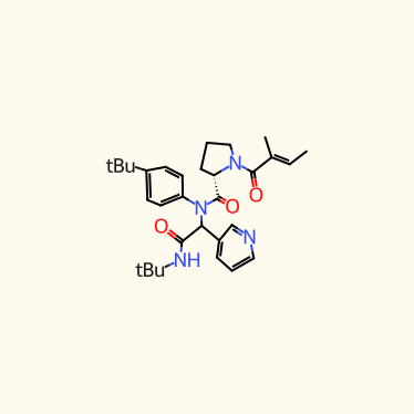 C/C=C(\C)C(=O)N1CCC[C@H]1C(=O)N(c1ccc(C(C)(C)C)cc1)C(C(=O)NC(C)(C)C)c1cccnc1